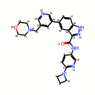 O=C(Nc1ccc(N2CCC2)nc1)c1n[nH]c2ccc(-c3cncc(CN4CCOCC4)c3)cc12